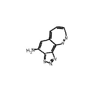 Nc1cc2cccnnc2c2nnnc12